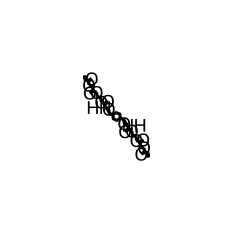 C=CC(=O)OCC(=O)OCCOC(=O)NOCC1CCC(CONC(=O)OCCOC(=O)COC(=O)C=C)CC1